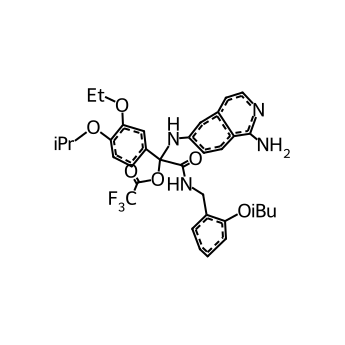 CCOc1cc(C(Nc2ccc3c(N)nccc3c2)(OC(=O)C(F)(F)F)C(=O)NCc2ccccc2OCC(C)C)ccc1OC(C)C